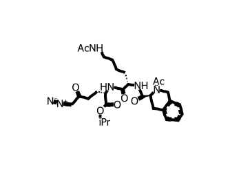 CC(=O)NCCCC[C@H](NC(=O)[C@@H]1Cc2ccccc2CN1C(C)=O)C(=O)N[C@@H](CCC(=O)C=[N+]=[N-])C(=O)OC(C)C